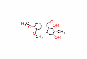 COc1ccc(C(C=O)c2ccc(O)c(C)c2O)cc1OC